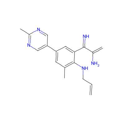 C=CCNc1c(C)cc(-c2cnc(C)nc2)cc1C(=N)C(=C)N